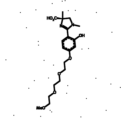 COCCOCCOCCOc1ccc(C2=N[C@@](C)(C(=O)O)CN2C)c(O)c1